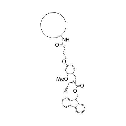 C#CCN(Cc1ccc(OCCCC(=O)NC2CCCCCCCCCCCCCCC2)cc1OC)C(=O)OCC1c2ccccc2-c2ccccc21